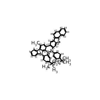 Cc1cc2c3c4c1c1ccccc1n4-c1ccc(C(C)(C)C)cc1B3N(c1ccc(C(C)(C)C)cc1)c1cc3sc4c5ccccc5ccc4c3cc1-2